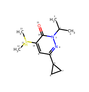 CC(C)n1nc(C2CC2)cc([SH](C)C)c1=O